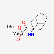 COC(=O)CC1C2CCC1CC(NC(=O)OC(C)(C)C)C2